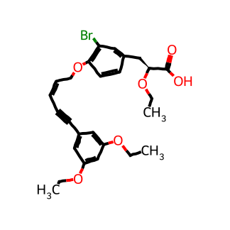 CCOc1cc(C#C/C=C\COc2ccc(C[C@H](OCC)C(=O)O)cc2Br)cc(OCC)c1